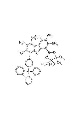 Bc1c(B)c(B)c2c(oc3c(-c4ccc(C5(c6ccccc6)c6ccccc6-c6ccccc65)cc4)c(B)c(B)c(B)c32)c1B1OC(C)(C)C(C)(C)O1